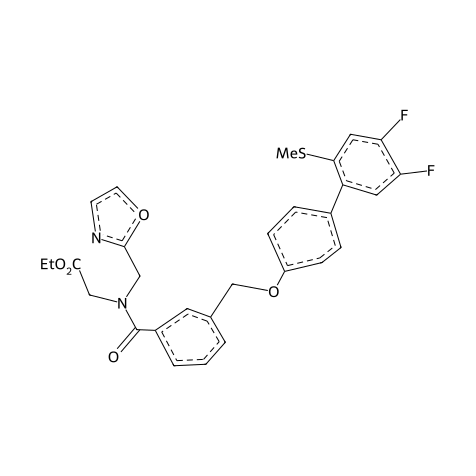 CCOC(=O)CN(Cc1ncco1)C(=O)c1cccc(COc2ccc(-c3cc(F)c(F)cc3SC)cc2)c1